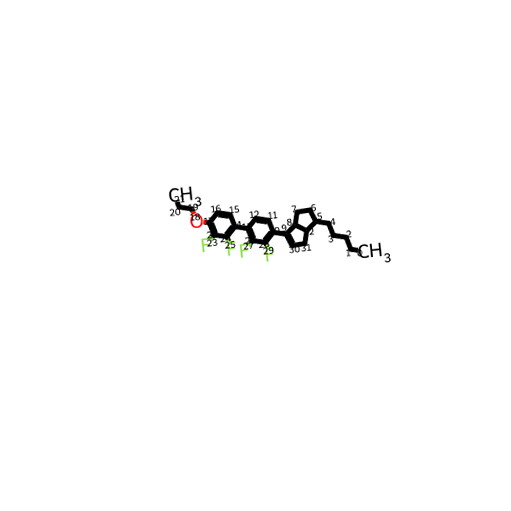 CCCCCC1CCC2C(c3ccc(-c4ccc(OCCC)c(F)c4F)c(F)c3F)=CCC12